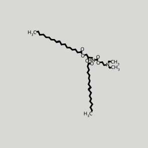 CCCCCCCCC=CCCCCCCCC(=O)OCC(CNC(=O)OCCN(CC)CC)OC(=O)CCCCCCCC=CCCCCCCCC